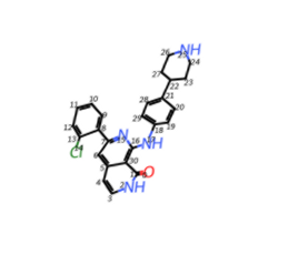 O=c1[nH]ccc2cc(-c3ccccc3Cl)nc(Nc3ccc(C4CCNCC4)cc3)c12